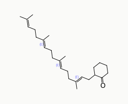 CC(C)=CCC/C(C)=C/CC/C(C)=C/CC/C(C)=C/CC1CCCCC1=O